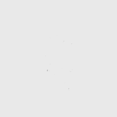 O=C1Nc2cc(Br)cnc2C1=Cc1cccc(Cl)c1F